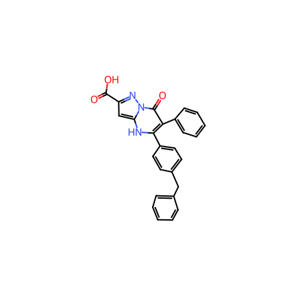 O=C(O)c1cc2[nH]c(-c3ccc(Cc4ccccc4)cc3)c(-c3ccccc3)c(=O)n2n1